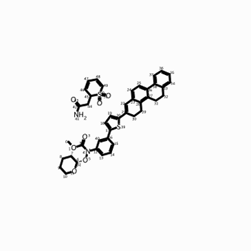 COC(=O)N(O[C@H]1CCCCO1)c1cccc(-c2ccc(C3=Cc4ccc5c(c4CC3)CCc3ccccc3-5)s2)c1.NC(=O)CC1C=CC=CS1(=O)=O